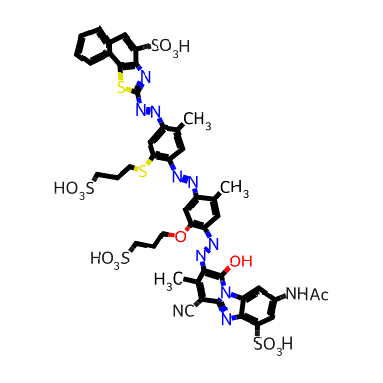 CC(=O)Nc1cc(S(=O)(=O)O)c2nc3c(C#N)c(C)c(N=Nc4cc(C)c(N=Nc5cc(C)c(N=Nc6nc7c(S(=O)(=O)O)cc8ccccc8c7s6)cc5SCCCS(=O)(=O)O)cc4OCCCS(=O)(=O)O)c(O)n3c2c1